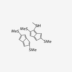 CSC1=CC2=C([SiH](C)C)C(SC)=CC2=C1.CSC1=CC2=CC(SC)=CC2=C1